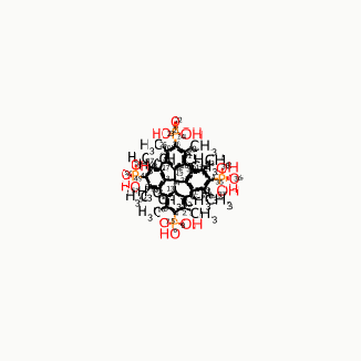 Cc1c(C)c(P(=O)(O)O)c(C)c(C)c1C(c1c(C)c(C)c(P(=O)(O)O)c(C)c1C)(c1c(C)c(C)c(P(=O)(O)O)c(C)c1C)c1c(C)c(C)c(P(=O)(O)O)c(C)c1C